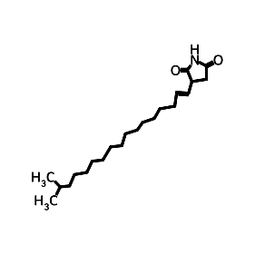 CC(C)CCCCCCCCCCCCCC=CC1CC(=O)NC1=O